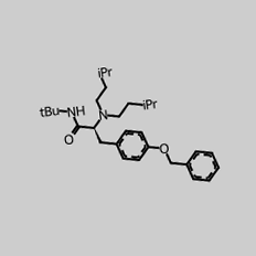 CC(C)CCN(CCC(C)C)[C@@H](Cc1ccc(OCc2ccccc2)cc1)C(=O)NC(C)(C)C